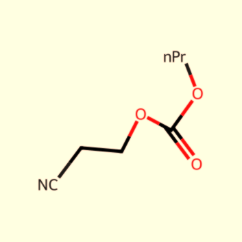 CCCOC(=O)OCCC#N